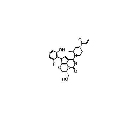 C=CC(=O)N1CCN(c2nc(=O)n3c4c2=CC(c2c(O)cccc2F)C=4OC[C@H]3CO)[C@@H](C)C1